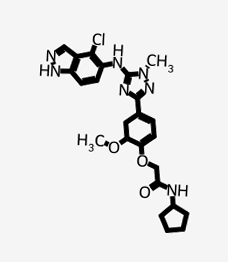 COC1CC(c2nc(Nc3ccc4[nH]ncc4c3Cl)n(C)n2)=CC=C1OCC(=O)NC1CCCC1